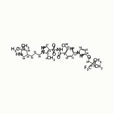 Cc1c(S(=O)(=O)NC(=O)c2ccc(-n3ccc(OCC(C)(C)C(F)(F)F)n3)nc2Cl)cnn1CCCC1CNC(C)(C)C1